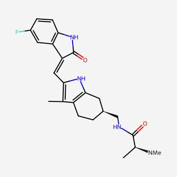 CN[C@@H](C)C(=O)NC[C@H]1CCc2c([nH]c(C=C3C(=O)Nc4ccc(F)cc43)c2C)C1